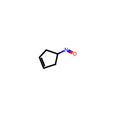 O=NC1CC=CC1